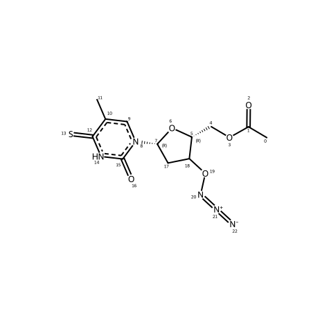 CC(=O)OC[C@H]1O[C@@H](n2cc(C)c(=S)[nH]c2=O)CC1ON=[N+]=[N-]